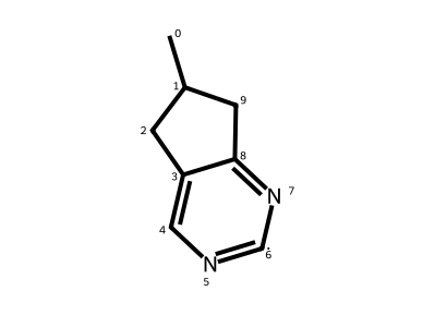 CC1Cc2cn[c]nc2C1